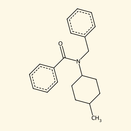 CC1CCC(N(Cc2ccccc2)C(=O)c2ccccc2)CC1